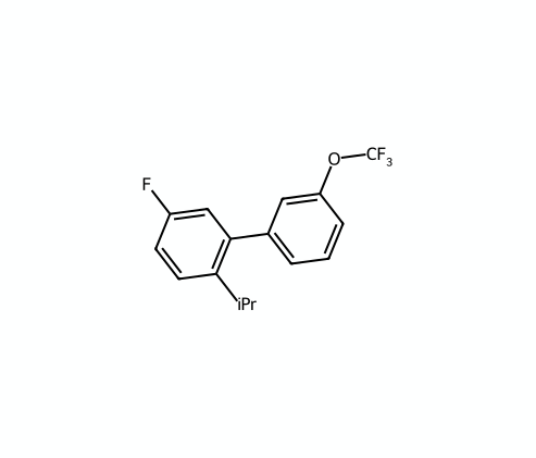 CC(C)c1ccc(F)cc1-c1cccc(OC(F)(F)F)c1